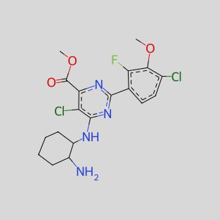 COC(=O)c1nc(-c2ccc(Cl)c(OC)c2F)nc(NC2CCCCC2N)c1Cl